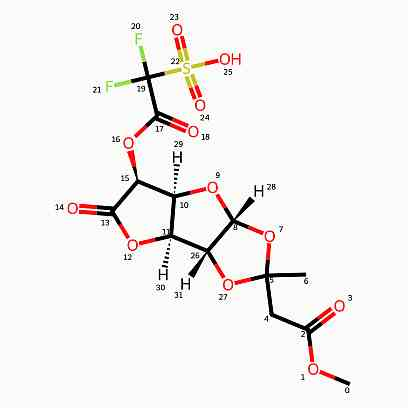 COC(=O)CC1(C)O[C@H]2O[C@H]3[C@H](OC(=O)[C@H]3OC(=O)C(F)(F)S(=O)(=O)O)[C@H]2O1